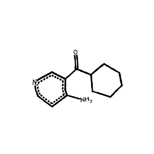 Nc1ccncc1C(=O)C1CCCCC1